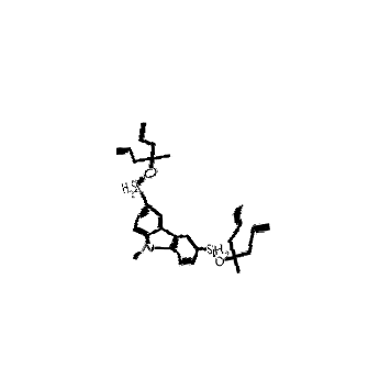 C=CCC(C)(CC=C)O[SiH2]c1ccc2c(c1)c1cc([SiH2]OC(C)(CC=C)CC=C)ccc1n2C